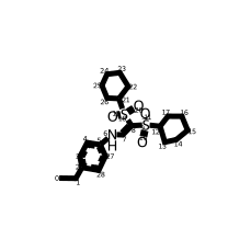 CCc1ccc(NC=C(S(=O)(=O)C2CCCCC2)S(=O)(=O)C2CCCCC2)cc1